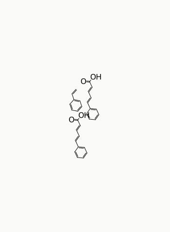 C=Cc1ccccc1.O=C(O)C=CC=Cc1ccccc1.O=C(O)C=CC=Cc1ccccc1